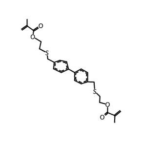 C=C(C)C(=O)OCCSCc1ccc(-c2ccc(CSCCOC(=O)C(=C)C)cc2)cc1